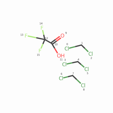 ClCCl.ClCCl.ClCCl.O=C(O)C(F)(F)F